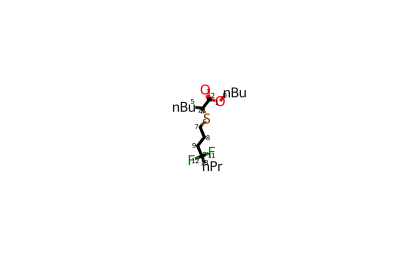 CCCCOC(=O)C(CCCC)SCCCC(F)(F)CCC